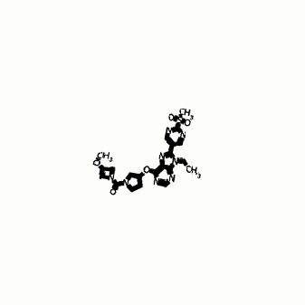 CCn1c(-c2cnc(S(C)(=O)=O)nc2)nc2c(OC3CCN(C(=O)N4CC(OC)C4)C3)ncnc21